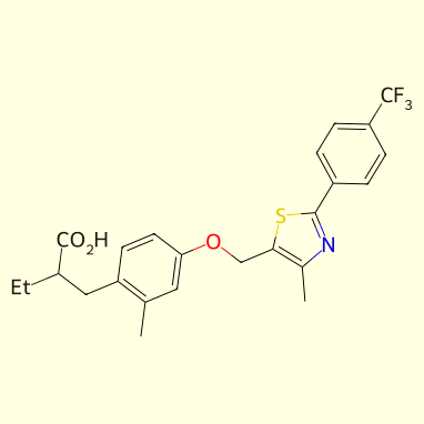 CCC(Cc1ccc(OCc2sc(-c3ccc(C(F)(F)F)cc3)nc2C)cc1C)C(=O)O